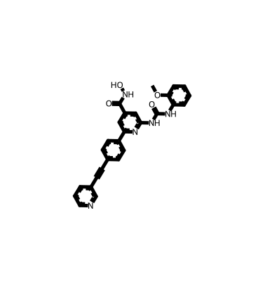 COc1ccccc1NC(=O)Nc1cc(C(=O)NO)cc(-c2ccc(C#Cc3cccnc3)cc2)n1